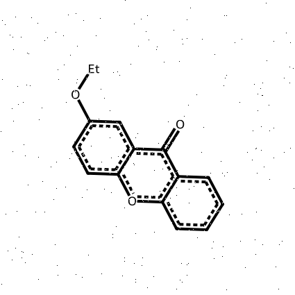 CCOc1ccc2oc3ccccc3c(=O)c2c1